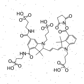 CC1(C)/C(=C\C=C\C2N(CCCS(=O)(=O)O)c3cc(C(=O)NCCS(=O)(=O)O)cc(C(=O)NCCS(=O)(=O)O)c3C2(C)C)N(CCCS(=O)(=O)O)c2cccc(C(=O)ON3C(=O)CCC3=O)c21